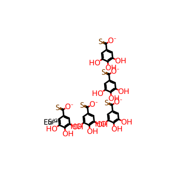 [Eu+3].[O-]C(=S)c1cc(O)c(O)c(O)c1.[O-]C(=S)c1cc(O)c(O)c(O)c1.[O-]C(=S)c1cc(O)c(O)c(O)c1.[O-]C(=S)c1cc(O)c(O)c(O)c1.[O-]C(=S)c1cc(O)c(O)c(O)c1.[Sr+2]